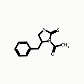 CC(=O)N1C(=S)SCC1Cc1ccccc1